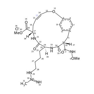 CONC(=O)[C@H]1Cc2ccc(cc2)OC/C=C\C[C@@H](C(=O)OC)NC(=O)[C@H](CCCCN[N+](C)=N)NC1=O.[Cl-]